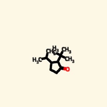 CC(C)C1CCC(=O)C1C(C)(C)C